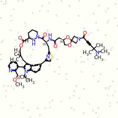 CCn1c(-c2cccnc2[C@H](C)OC)c2c3cc(ccc31)-c1csc(n1)C[C@H](NC(=O)C[C@@H]1COC3(CN(C(=O)C#CC(C)(C)N(C)C)C3)O1)C(=O)N1CCC[C@H](N1)C(=O)OCC(C)(C)C2